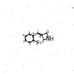 Fc1ccccc1C=C1CNC1